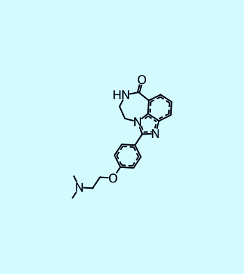 CN(C)CCOc1ccc(-c2nc3cccc4c3n2CCNC4=O)cc1